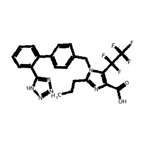 CCCc1nc(C(=O)O)c(C(F)(F)C(F)(F)F)n1Cc1ccc(-c2ccccc2-c2nnn[nH]2)cc1